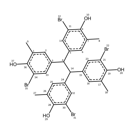 Cc1cc(C(c2cc(C)c(O)c(Br)c2)C(c2cc(C)c(O)c(Br)c2)c2cc(C)c(O)c(Br)c2)cc(Br)c1O